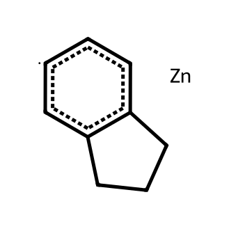 [Zn].[c]1ccc2c(c1)CCC2